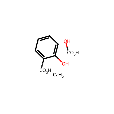 O=C(O)O.O=C(O)c1ccccc1O.[CaH2]